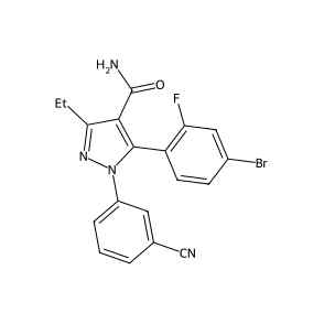 CCc1nn(-c2cccc(C#N)c2)c(-c2ccc(Br)cc2F)c1C(N)=O